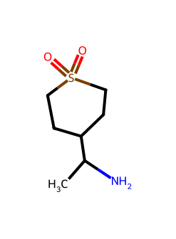 CC(N)C1CCS(=O)(=O)CC1